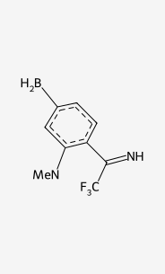 Bc1ccc(C(=N)C(F)(F)F)c(NC)c1